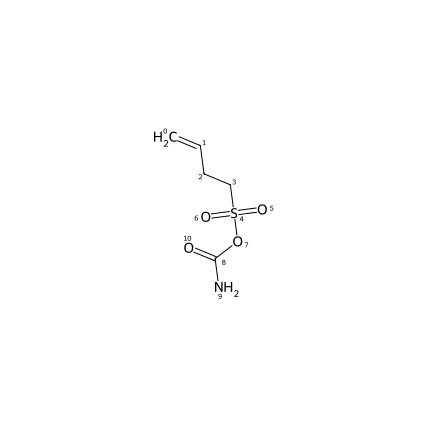 C=CCCS(=O)(=O)OC(N)=O